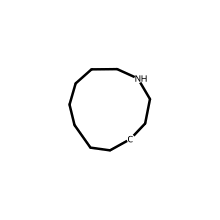 C1CCCCCNCCCC1